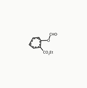 CCOC(=O)c1ccccc1O[C]=O